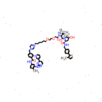 Cc1ccc(NC(=O)c2ccc(CN3CCN(CCCCCCOCCOCC(=O)N[C@H](C(=O)N4C[C@H](O)C[C@H]4C(=O)NCc4ccc(-c5sccc5C)cc4)C(C)(C)C)CC3)cc2)cc1Nc1nccc(-c2cccnc2)n1